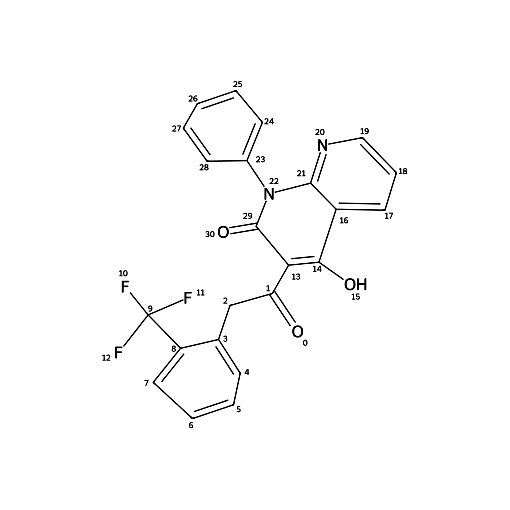 O=C(Cc1ccccc1C(F)(F)F)c1c(O)c2cccnc2n(-c2ccccc2)c1=O